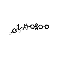 O=C(CSc1nnc(-c2ccc(S(=O)(=O)C3CCC(c4ccccc4)CC3)cc2)o1)Nc1ccc(Cl)cc1